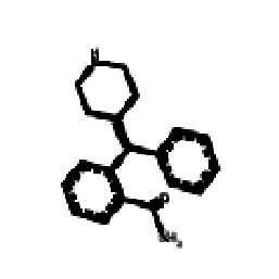 NC(=O)c1ccccc1C(=C1CCNCC1)c1ccccc1